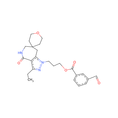 CCc1nn(CCCOC(=O)c2cccc(C=O)c2)c2c1C(=O)NCC1(CCOCC1)C2